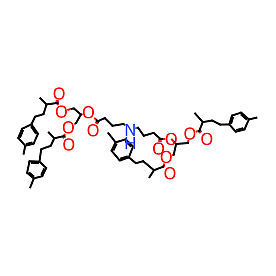 Cc1ccc(CCC(C)C(=O)OCC(COC(=O)C(C)CCc2ccc(C)cc2)OC(=O)CCCNCCCC(=O)OC(COC(=O)C(C)CCc2ccc(C)cc2)COC(=O)C(C)CCc2ccc(C)cc2)cc1